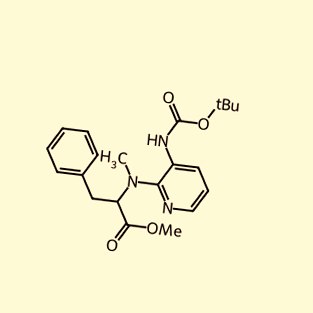 COC(=O)C(Cc1ccccc1)N(C)c1ncccc1NC(=O)OC(C)(C)C